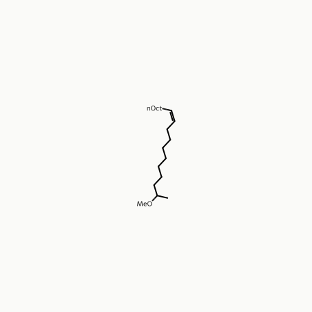 CCCCCCCC/C=C\CCCCCCCC(C)OC